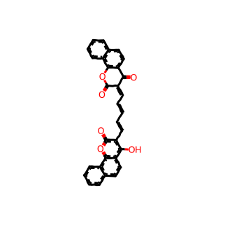 O=C1Oc2c(ccc3ccccc23)C(=O)C1=CC=CC=Cc1c(O)c2ccc3ccccc3c2oc1=O